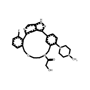 CN1CCN(c2ccc3cc2CN(C(=O)CO)CCOCc2cccc(F)c2-c2cc4c-3n[nH]c4cn2)CC1